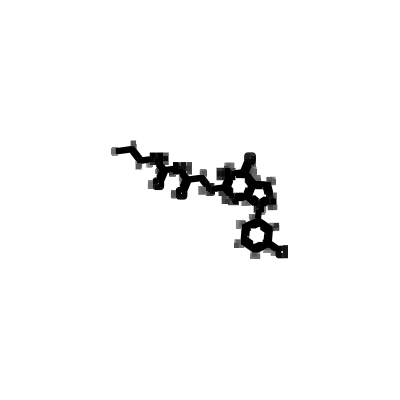 CCCNC(=O)NC(=O)CSc1nc2c(cnn2-c2cccc(Cl)c2)c(=O)[nH]1